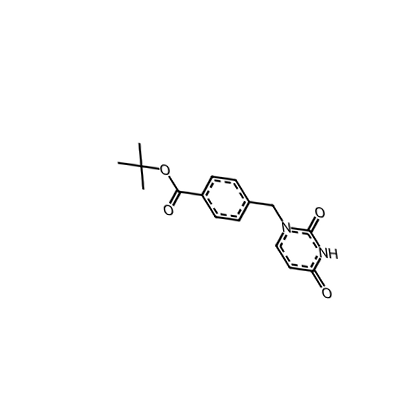 CC(C)(C)OC(=O)c1ccc(Cn2ccc(=O)[nH]c2=O)cc1